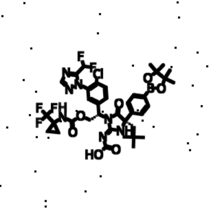 CC(C)(C)C[C@]1(c2ccc(B3OC(C)(C)C(C)(C)O3)cc2)N/C(=N\C(=O)O)N([C@H](COC(=O)NC2(C(F)(F)F)CC2)c2ccc(Cl)c(-n3ncnc3C(F)F)c2)C1=O